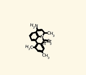 CCC(CC)N1c2c(cccc2-c2c(C)cc(C)cc2C)C(N)=CC1C